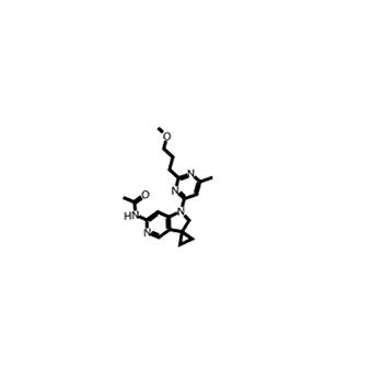 COCCCc1nc(C)cc(N2CC3(CC3)c3cnc(NC(C)=O)cc32)n1